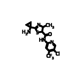 CC1N=C(C2(N)CC2)SC1C(=O)Nc1cc(C(F)(F)F)c(Cl)cn1